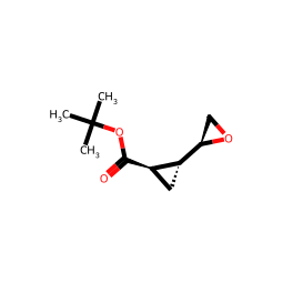 CC(C)(C)OC(=O)[C@@H]1C[C@H]1[C@H]1CO1